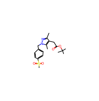 Cc1nn(Cc2ccc(S(C)(=O)=O)cc2)c(C)c1CC(=O)OC(C)(C)C